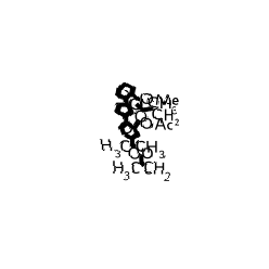 C=C(C)C(=O)OC(C)(C)C1CC2(COC(C)=O)OC1CC2C1CCC(OC(=O)C(=C)C)(C2CC3CCC2(COC)O3)C1